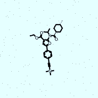 CCOC(=O)c1cc(-c2ccc(C#C[Si](C)(C)C)cc2)oc1N(C(=O)[C@H]1CC[C@H](C)CC1)C(C)C